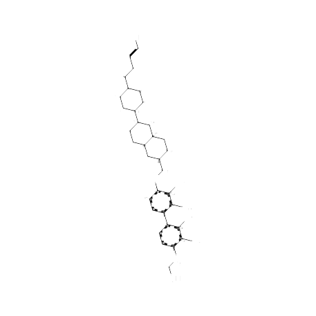 C/C=C/CCC1CCC(C2CCC3CC(COc4ccc(-c5ccc(OCC)c(F)c5F)c(F)c4F)CCC3C2)CC1